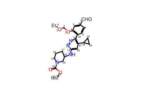 CCOCOc1cc(C=O)ccc1-c1nnc(NC2CCCN(C(=O)OC(C)(C)C)C2)cc1C1CC1